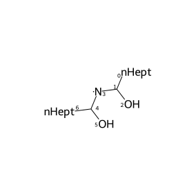 CCCCCCCC(O)[N]C(O)CCCCCCC